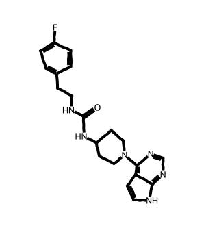 O=C(NCCc1ccc(F)cc1)NC1CCN(c2ncnc3[nH]ccc23)CC1